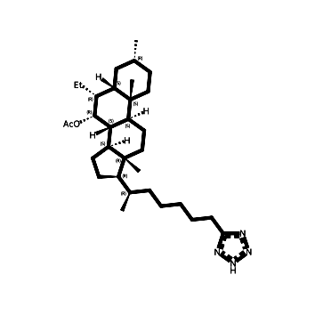 CC[C@H]1[C@@H](OC(C)=O)[C@@H]2[C@H](CC[C@]3(C)[C@@H]([C@H](C)CCCCCc4nn[nH]n4)CC[C@@H]23)[C@@]2(C)CC[C@@H](C)C[C@@H]12